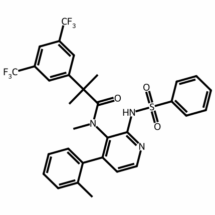 Cc1ccccc1-c1ccnc(NS(=O)(=O)c2ccccc2)c1N(C)C(=O)C(C)(C)c1cc(C(F)(F)F)cc(C(F)(F)F)c1